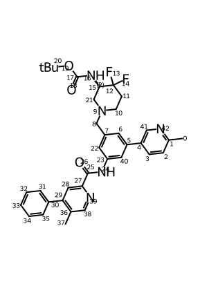 Cc1ccc(-c2cc(CN3CCC(F)(F)[C@H](NC(=O)OC(C)(C)C)C3)cc(NC(=O)c3cc(-c4ccccc4)c(C)cn3)c2)cn1